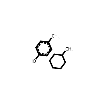 CC1CCCCC1.Cc1ccc(O)cc1